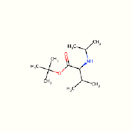 CC(C)N[C@H](C(=O)OC(C)(C)C)C(C)C